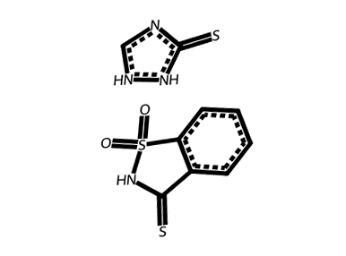 O=S1(=O)NC(=S)c2ccccc21.S=c1nc[nH][nH]1